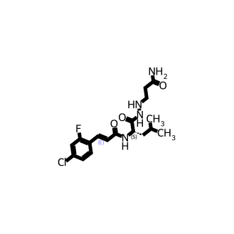 CC(C)C[C@H](NC(=O)/C=C/c1ccc(Cl)cc1F)C(=O)NNCCC(N)=O